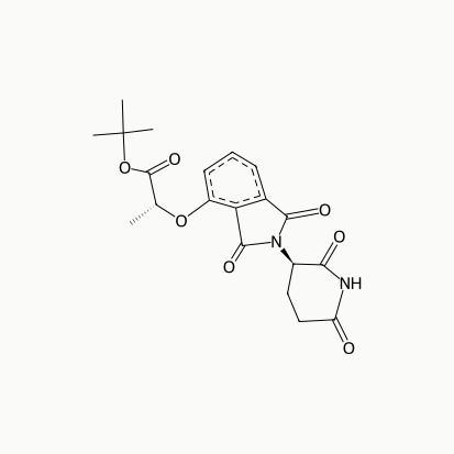 C[C@@H](Oc1cccc2c1C(=O)N([C@@H]1CCC(=O)NC1=O)C2=O)C(=O)OC(C)(C)C